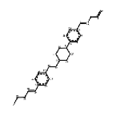 C=CCOCc1ccc(C2CCC(CCc3ccc(/C=C/CCC)cc3)CC2)cc1